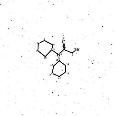 O=C(CBr)N(C1CCCCC1)C1CCCCC1